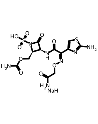 NC(=O)CON=C(C(=O)N[C@@H]1C(=O)N(S(=O)(=O)O)[C@@H]1COC(N)=O)c1csc(N)n1.[NaH]